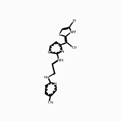 CCC1=CSC(=C(C#N)c2ccnc(NCCNc3ccc(C#N)cn3)n2)N1